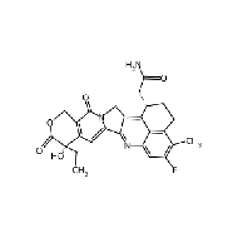 CC[C@@]1(O)C(=O)OCc2c1cc1n(c2=O)Cc2c-1nc1cc(F)c(C)c3c1c2[C@H](CC(N)=O)CC3